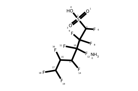 N.O=S(=O)(O)C(F)C(F)(F)C(F)(F)C(F)C(F)C(F)F